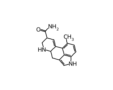 Cc1ccc2[nH]cc3c2c1C1=CC(C(N)=O)CNC1C3